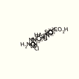 Nc1nc(Cl)nc2c1ncn2C1CCC(C(=O)[AsH]c2nc3ccc(CC(=O)O)cc3s2)CC1